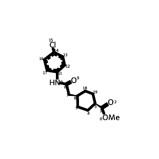 COC(=O)[C@H]1CC[C@@H](CC(=O)Nc2ccc(Cl)cc2)CC1